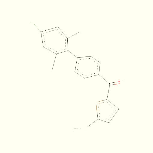 Cc1cc(Br)cc(C)c1-c1ccc(C(=O)c2ccc(C(=O)O)s2)cc1